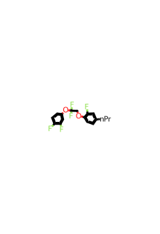 CCCc1ccc(OCC(F)(F)Oc2ccc(F)c(F)c2)c(F)c1